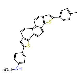 CCCCCCCCNc1ccc(-c2cc3ccc4c5ccc6cc(-c7ccc(C)cc7)sc6c5ccc4c3s2)cc1